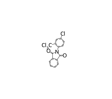 O=C1c2ccccc2C(=O)N1c1ccc(Cl)cc1C(Cl)(Cl)Cl